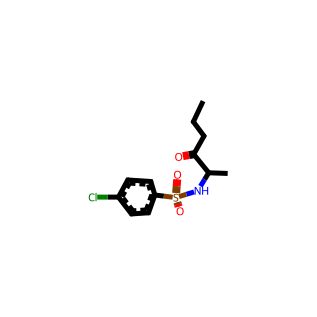 CCCC(=O)C(C)NS(=O)(=O)c1ccc(Cl)cc1